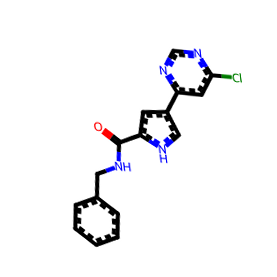 O=C(NCc1ccccc1)c1cc(-c2cc(Cl)ncn2)c[nH]1